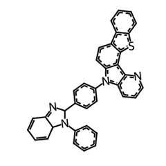 C1=CC2=NC(c3ccc(-n4c5cccnc5c5c6sc7ccccc7c6ccc54)cc3)N(c3ccccc3)C2C=C1